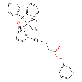 CC(C)(C)C(Oc1cccc(C#CCCC(=O)OCc2ccccc2)c1)(c1ccccc1)c1ccccc1